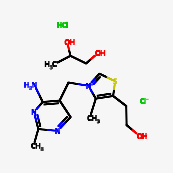 CC(O)CO.Cc1ncc(C[n+]2csc(CCO)c2C)c(N)n1.Cl.[Cl-]